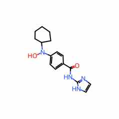 O=C(Nc1ncc[nH]1)c1ccc(N(O)C2CCCCC2)cc1